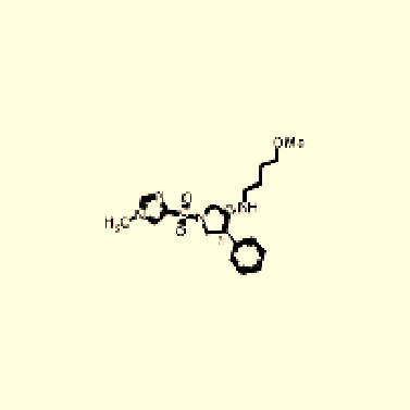 COCCCCN[C@H]1CN(S(=O)(=O)c2cn(C)cn2)C[C@@H]1c1ccccc1